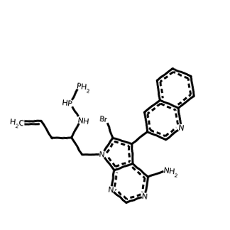 C=CCC(Cn1c(Br)c(-c2cnc3ccccc3c2)c2c(N)ncnc21)NPP